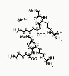 CNCC(=O)N[C@@H](CCCNC(=N)N)C(=O)N[C@@H](CCCCN)C(=O)[O-].CNCC(=O)N[C@@H](CCCNC(=N)N)C(=O)N[C@@H](CCCCN)C(=O)[O-].[Mn+2]